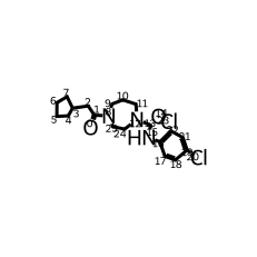 O=C(CC1CCCC1)N1CCCN(C(=O)Nc2ccc(Cl)cc2Cl)CC1